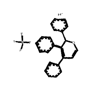 C1=CC(c2ccccc2)=C(c2ccccc2)C(c2ccccc2)O1.F[B-](F)(F)F.[H+]